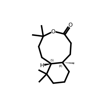 CC1(C)CC[C@H]2C(C)(C)CCC[C@]2(C)CCC(=O)O1